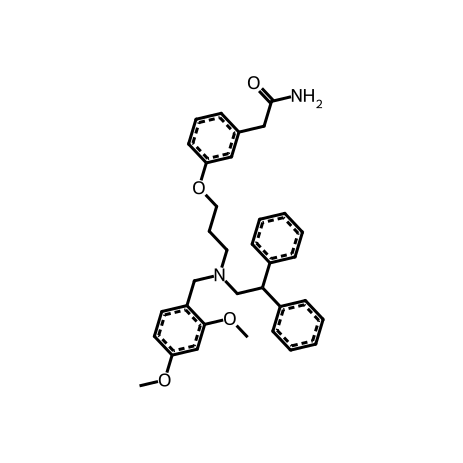 COc1ccc(CN(CCCOc2cccc(CC(N)=O)c2)CC(c2ccccc2)c2ccccc2)c(OC)c1